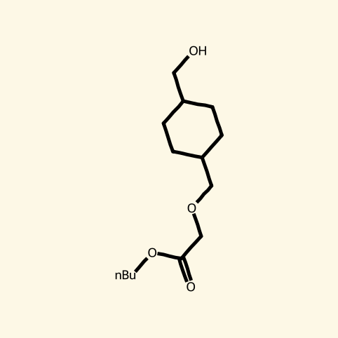 CCCCOC(=O)COCC1CCC(CO)CC1